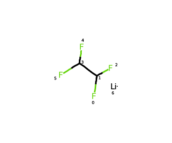 FC(F)C(F)F.[Li]